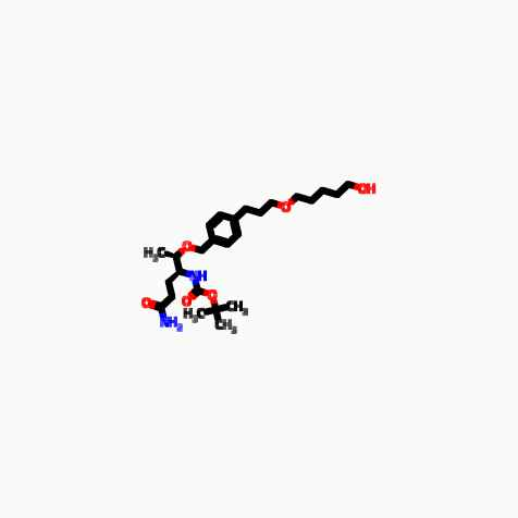 C[C@@H](OCc1ccc(CCCOCCCCCO)cc1)[C@H](CCC(N)=O)NC(=O)OC(C)(C)C